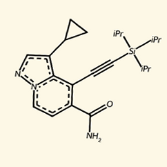 CC(C)[Si](C#Cc1c(C(N)=O)ccn2ncc(C3CC3)c12)(C(C)C)C(C)C